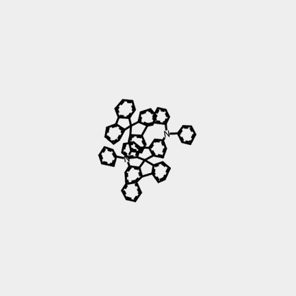 c1ccc(N(c2ccccc2)c2ccc3c(c2)-c2ccccc2C32c3ccccc3-c3c2c(N(c2ccccc2)c2ccc4c(c2)C2(c5ccccc5-c5ccccc52)c2ccccc2-4)cc2ccccc32)cc1